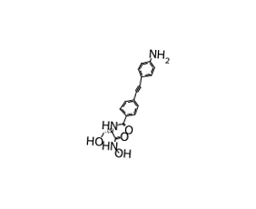 Nc1ccc(C#Cc2ccc(C(=O)N[C@@H](CO)C(=O)NO)cc2)cc1